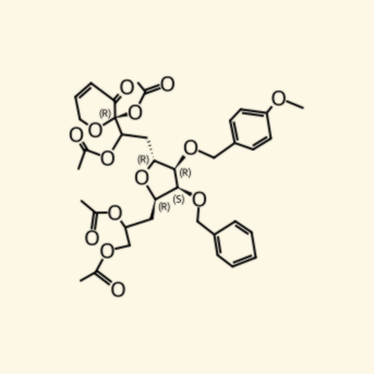 COc1ccc(CO[C@H]2[C@@H](OCc3ccccc3)[C@@H](CC(COC(C)=O)OC(C)=O)O[C@@H]2CC(OC(C)=O)[C@]2(OC(C)=O)OCC=CC2=O)cc1